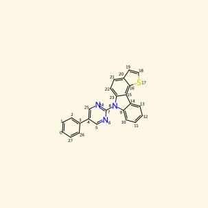 c1ccc(-c2cnc(-n3c4ccccc4c4c5sccc5ccc43)nc2)cc1